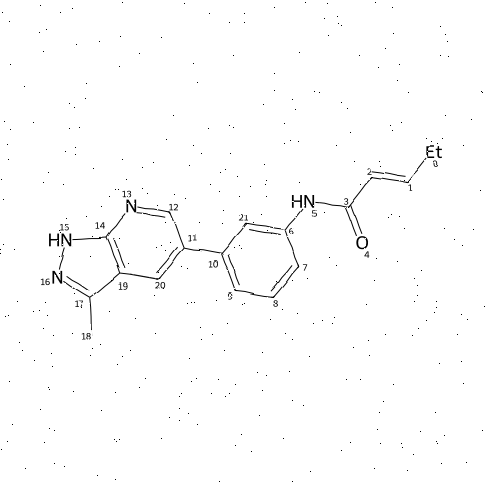 CCC=CC(=O)Nc1cccc(-c2cnc3[nH]nc(C)c3c2)c1